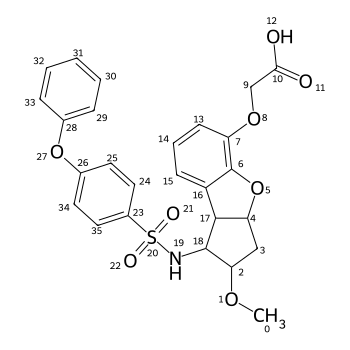 COC1CC2Oc3c(OCC(=O)O)cccc3C2C1NS(=O)(=O)c1ccc(Oc2ccccc2)cc1